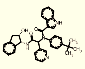 CC(C)(C)c1ccc(N(C(=O)c2c[nH]c3ccccc23)C(C(=O)N[C@@H]2c3ccccc3C[C@@H]2O)c2cccnc2)cc1